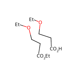 CCOCCC(=O)O.CCOCCC(=O)OCC